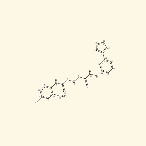 O=C(COCC(=O)Nc1ccc(Cl)cc1C(=O)O)NCc1cccc(-c2cccs2)c1